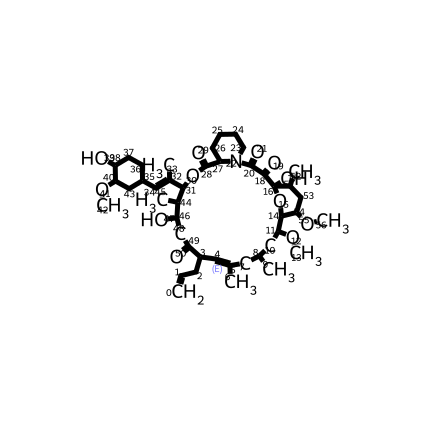 C=CCC1/C=C(\C)CC(C)CC(OC)C2OC(O)(C(=O)C(=O)N3CCCCC3C(=O)OC(C(C)=CC3CCC(O)C(OC)C3)C(C)C(O)CC1=O)C(C)CC2OC